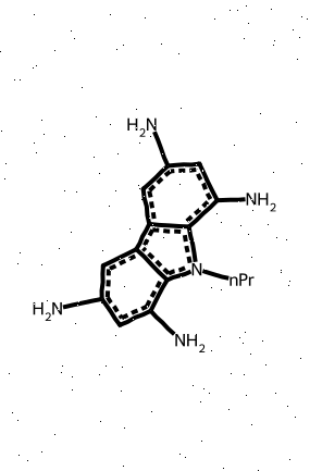 CCCn1c2c(N)cc(N)cc2c2cc(N)cc(N)c21